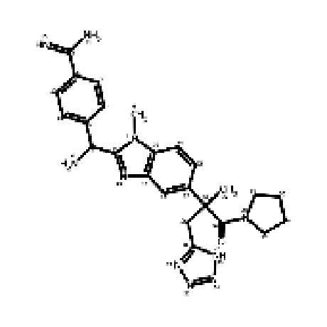 Cn1c(C(N)c2ccc(C(=N)N)cc2)nc2cc(C(C)(Cc3nnn[nH]3)C(=O)N3CCCC3)ccc21